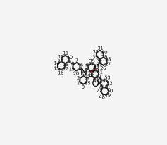 c1ccc(N(c2ccc(-c3cccc4ccccc34)cc2)c2ccc(-c3cccc4ccccc34)cc2)c(-c2cccc3c2oc2c4ccccc4ccc32)c1